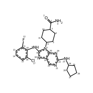 NC(=O)C1CCC(n2c(Nc3c(F)cccc3Cl)nc3cnc(NC4CCCC4)nc32)CC1